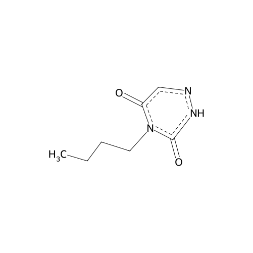 CCCCn1c(=O)cn[nH]c1=O